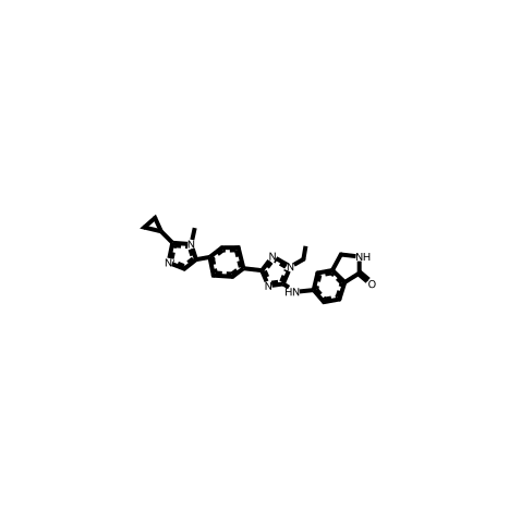 CCn1nc(-c2ccc(-c3cnc(C4CC4)n3C)cc2)nc1Nc1ccc2c(c1)CNC2=O